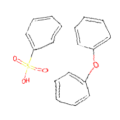 O=S(=O)(O)c1ccccc1.c1ccc(Oc2ccccc2)cc1